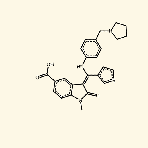 CN1C(=O)C(=C(Nc2ccc(CN3CCCC3)cc2)c2ccsc2)c2cc(C(=O)O)ccc21